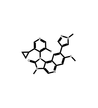 CSc1cc2ncc3c(c2cc1-c1cnn(C)c1)n(-c1c(F)cncc1C1CC1)c(=O)n3C